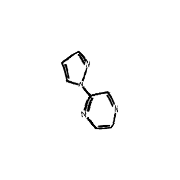 [c]1nccnc1-n1cccn1